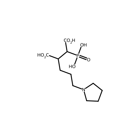 O=C(O)C(CCCN1CCCC1)C(C(=O)O)P(=O)(O)O